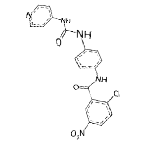 O=C(Nc1ccncc1)Nc1ccc(NC(=O)c2cc([N+](=O)[O-])ccc2Cl)cc1